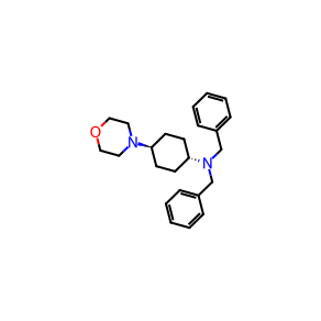 c1ccc(CN(Cc2ccccc2)[C@H]2CC[C@H](N3CCOCC3)CC2)cc1